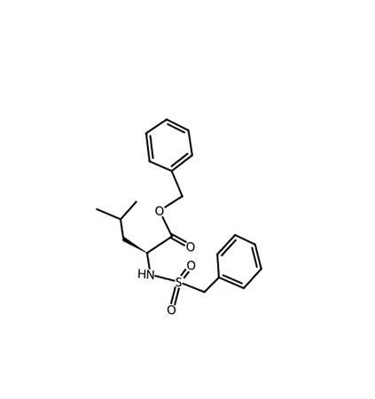 CC(C)C[C@H](NS(=O)(=O)Cc1ccccc1)C(=O)OCc1ccccc1